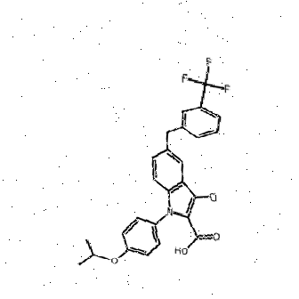 CC(C)Oc1ccc(-n2c(C(=O)O)c(Cl)c3cc(Cc4cccc(C(F)(F)F)c4)ccc32)cc1